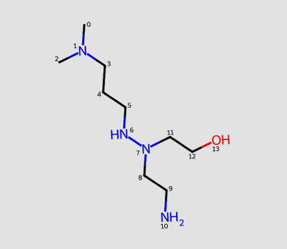 CN(C)CCCNN(CCN)CCO